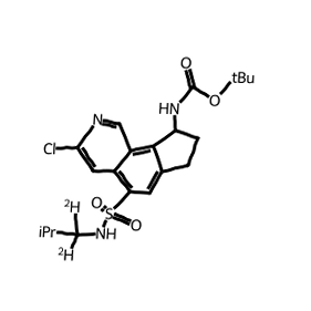 [2H]C([2H])(NS(=O)(=O)c1cc2c(c3cnc(Cl)cc13)C(NC(=O)OC(C)(C)C)CC2)C(C)C